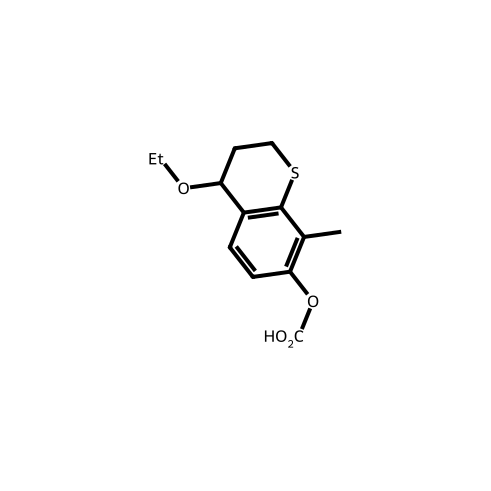 CCOC1CCSc2c1ccc(OC(=O)O)c2C